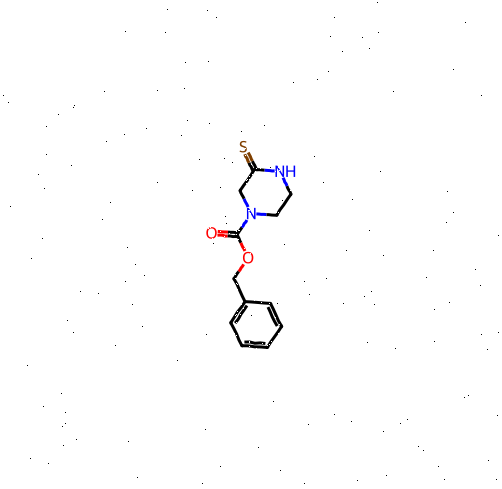 O=C(OCc1ccccc1)N1CCNC(=S)C1